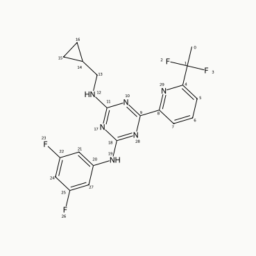 CC(F)(F)c1cccc(-c2nc(NCC3CC3)nc(Nc3cc(F)cc(F)c3)n2)n1